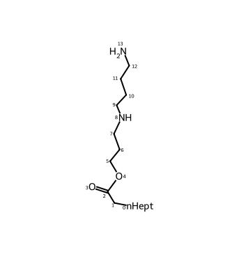 CCCCCCCCC(=O)OCCCNCCCCN